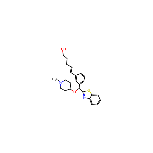 CN1CCC(OC(c2cccc(/C=C/CCCO)c2)c2nc3ccccc3s2)CC1